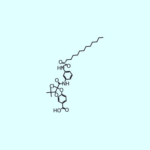 CCCCCCCCCCCCS(=O)(=O)Nc1cccc(NC(=O)C(Cl)(Oc2ccc(C(=O)O)cc2)C(=O)C(C)(C)C)c1